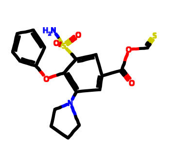 NS(=O)(=O)c1cc(C(=O)OC=S)cc(N2CCCC2)c1Oc1ccccc1